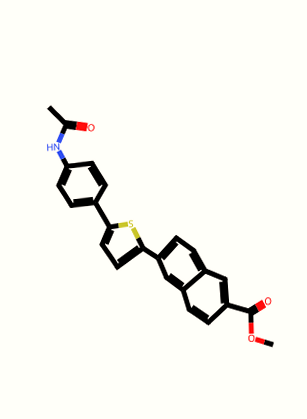 COC(=O)c1ccc2cc(-c3ccc(-c4ccc(NC(C)=O)cc4)s3)ccc2c1